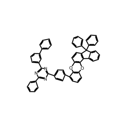 c1ccc(-c2cccc(-c3nc(-c4ccccc4)nc(-c4ccc(-c5cccc6c5Oc5ccc7c(c5O6)-c5ccccc5C7(c5ccccc5)c5ccccc5)cc4)n3)c2)cc1